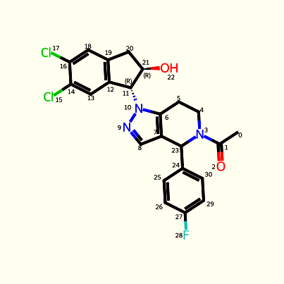 CC(=O)N1CCc2c(cnn2[C@@H]2c3cc(Cl)c(Cl)cc3C[C@H]2O)C1c1ccc(F)cc1